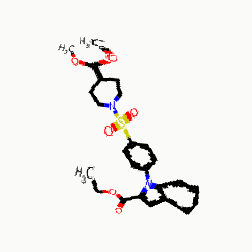 CCOC(=O)c1cc2ccccc2n1-c1ccc(S(=O)(=O)N2CCC(C(OC)OC)CC2)cc1